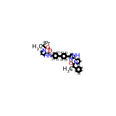 CC(C)[C@H](C)C(=O)N1CCC[C@H]1C(=O)Nc1ccc(-c2ccc(-c3c[nH]c([C@@H]4CCCN4C(=O)[C@H](C)c4ccccc4)n3)cc2)cc1